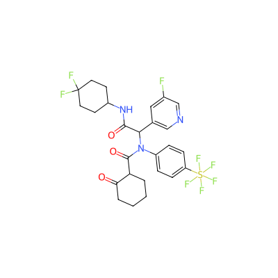 O=C1CCCCC1C(=O)N(c1ccc(S(F)(F)(F)(F)F)cc1)C(C(=O)NC1CCC(F)(F)CC1)c1cncc(F)c1